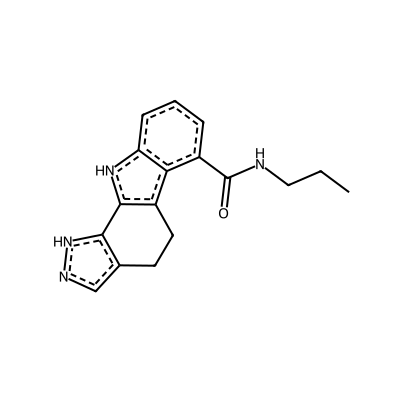 CCCNC(=O)c1cccc2[nH]c3c(c12)CCc1cn[nH]c1-3